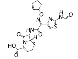 O=CNc1nc(C(=NOC2C=CCC2)C(=O)NC2C(=O)N3C(C(=O)O)=CCS[C@@H]23)cs1